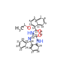 CCOc1ccc2ccccc2c1C(=O)NC1N=C(c2ccccc2)c2ccccc2NC1=O